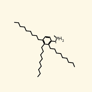 CCCCCCCCCc1ccc(I)c(CCCCCCCCC)c1CCCCCCCCC.CP